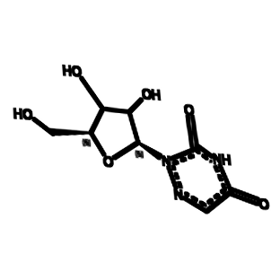 O=c1cnn([C@H]2O[C@@H](CO)C(O)C2O)c(=O)[nH]1